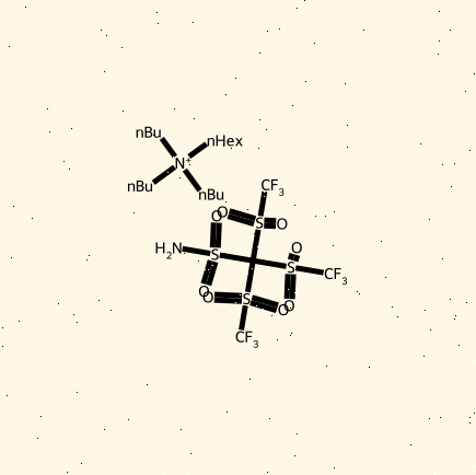 CCCCCC[N+](CCCC)(CCCC)CCCC.NS(=O)(=O)C(S(=O)(=O)C(F)(F)F)(S(=O)(=O)C(F)(F)F)S(=O)(=O)C(F)(F)F